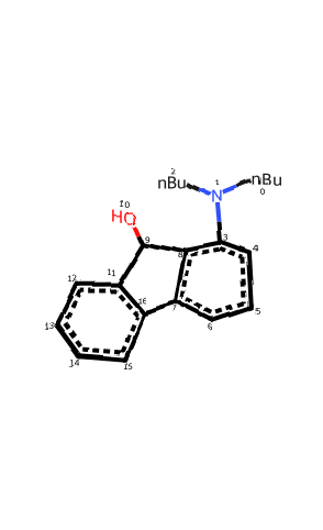 CCCCN(CCCC)c1cccc2c1C(O)c1ccccc1-2